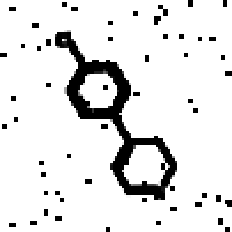 Clc1ccc(C2=CC=NCC2)cc1